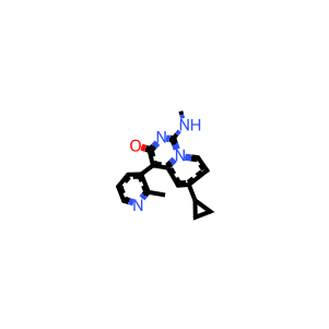 CNc1nc(=O)c(-c2cccnc2C)c2cc(C3CC3)ccn12